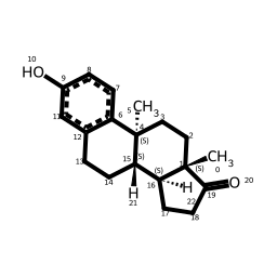 C[C@]12CC[C@]3(C)c4ccc(O)cc4CC[C@H]3[C@@H]1CCC2=O